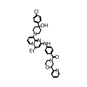 CC[C@@H]1C=C(Nc2ccc(C(=O)N3CCOC(c4ccccn4)C3)cc2)N=C2C(N3CCC(O)(c4ccc(Cl)cc4)CC3)=CC=CN21